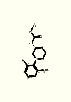 CC(C)(C)NC(=O)O[C@@H]1CCCN(c2c(Br)cccc2C=O)C1